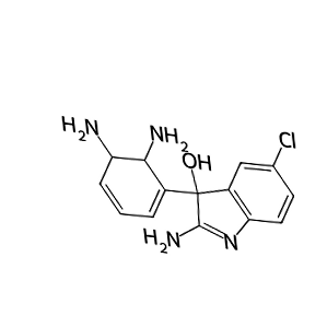 NC1=Nc2ccc(Cl)cc2C1(O)C1=CC=CC(N)C1N